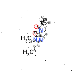 CCCCC1=NC2(CCCN(C(=O)C34CCC(CC3)CC4)C2)C(=O)N1CC